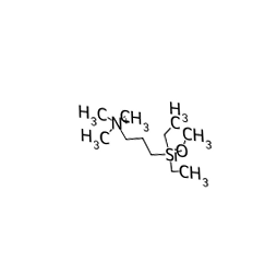 CC[Si](CC)(CCC[N+](C)(C)C)OC